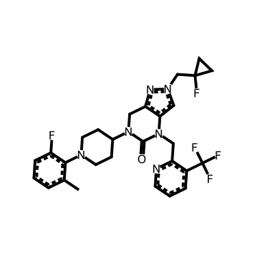 Cc1cccc(F)c1N1CCC(N2Cc3nn(CC4(F)CC4)cc3N(Cc3ncccc3C(F)(F)F)C2=O)CC1